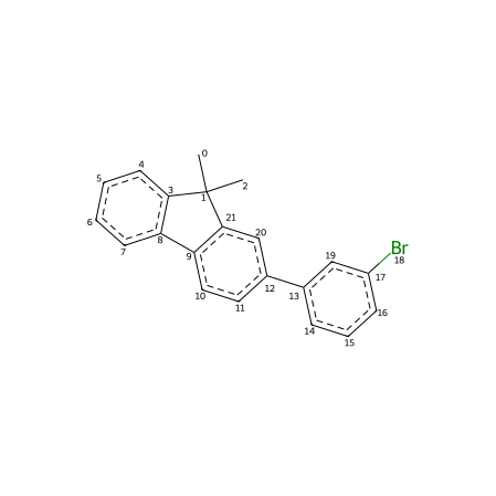 CC1(C)c2ccccc2-c2ccc(-c3cccc(Br)c3)cc21